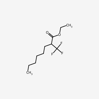 CCCCCCC(C(=O)OCC)C(F)(F)F